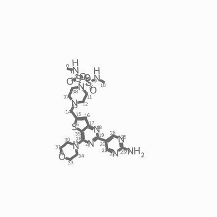 CNS(=O)(=O)[N+]1(S(=O)(=O)NC)CCN(Cc2cc3nc(-c4cnc(N)nc4)nc(N4CCOCC4)c3s2)CC1